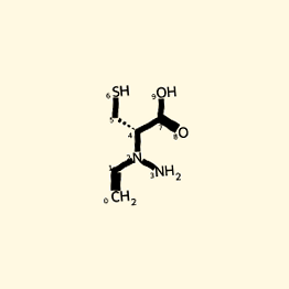 C=CN(N)[C@H](CS)C(=O)O